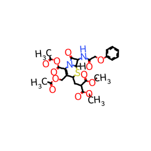 COC(=O)C(CC1S[C@H]2C(NC(=O)COc3ccccc3)C(=O)N2C(C(=O)OC(C)=O)=C1COC(C)=O)C(=O)OC